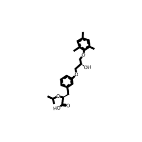 Cc1cc(C)c(OC[C@H](O)COc2cccc(C[C@H](OC(C)C)C(=O)O)c2)c(C)c1